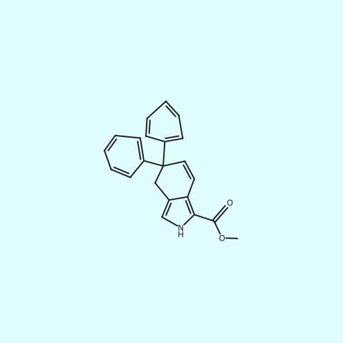 COC(=O)c1[nH]cc2c1C=CC(c1ccccc1)(c1ccccc1)C2